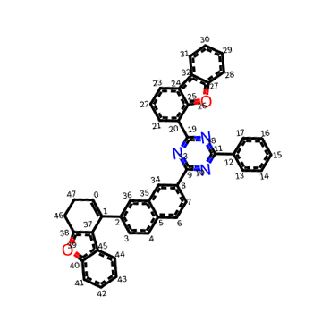 C1=C(c2ccc3ccc(-c4nc(-c5ccccc5)nc(-c5cccc6c5oc5ccccc56)n4)cc3c2)c2c(oc3ccccc23)CC1